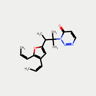 C/C=C\c1cc(C(C)C(C)(C)n2nnccc2=O)oc1/C=C\C